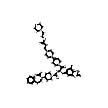 Cc1cc(C[C@@H](OC(=O)N2CCC(N3CCc4ccccc4NC3=O)CC2)C(=O)N2CCC(N3CCN(CCC(=O)OCCN4CCOCC4)CC3)CC2)cc2oc(=O)[nH]c12